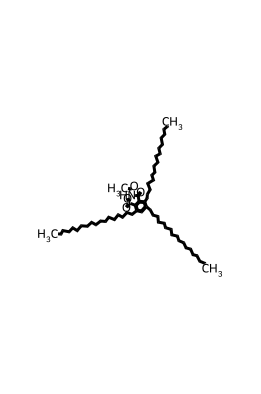 CCCCCCCCCCCCCCCCCCc1cc(CCCCCCCCCCCCCCCCCC)c(I(=O)=O)c(C(=O)NC(C)=O)c1CCCCCCCCCCCCCCCCCC